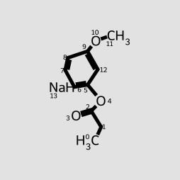 CCC(=O)Oc1cccc(OC)c1.[NaH]